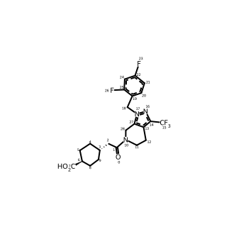 O=C(C[C@H]1CC[C@H](C(=O)O)CC1)N1CCc2c(C(F)(F)F)nn(Cc3ccc(F)cc3F)c2C1